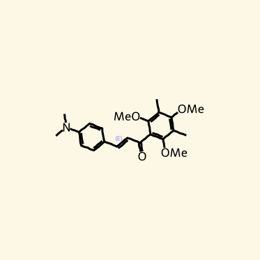 COc1c(C)c(OC)c(C(=O)/C=C/c2ccc(N(C)C)cc2)c(OC)c1C